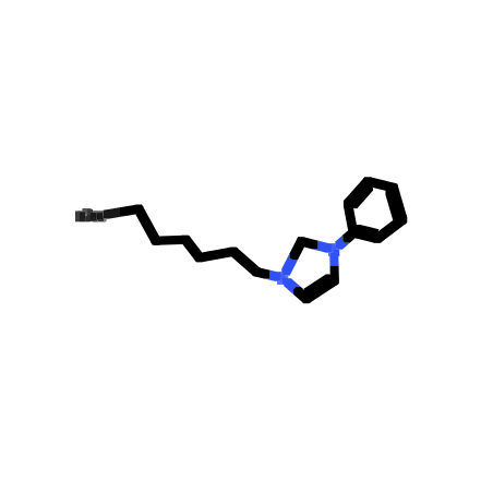 CCCCCCCCCCCCCCCCN1C=CN(c2ccccc2)C1